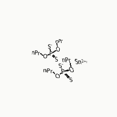 CCCOP(=S)([S-])OCCC.CCCOP(=S)([S-])OCCC.[Sn+2]